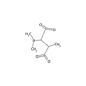 CC(C(N(C)C)I(=O)=O)I(=O)=O